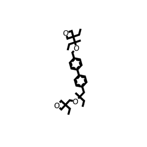 CCC1(COC(C)(CC)Cc2ccc(-c3ccc(COC(C)(CC)C4(CC)COC4)cc3)cc2)COC1